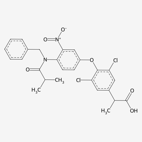 CC(C)C(=O)N(Cc1ccccc1)c1ccc(Oc2c(Cl)cc(C(C)C(=O)O)cc2Cl)cc1[N+](=O)[O-]